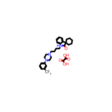 O=C(NCCCCN1CCN(c2cccc(C(F)(F)F)c2)CC1)C1(c2ccccc2)CCCCC1.O=C(O)C(=O)O